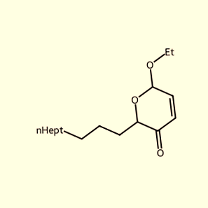 CCCCCCCCCCC1OC(OCC)C=CC1=O